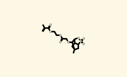 C=C(C)C(=O)OCCOC(=O)COC1C2OS(=O)(=O)C3CC1(C)CC23